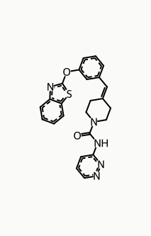 O=C(Nc1cccnn1)N1CCC(=Cc2cccc(Oc3nc4ccccc4s3)c2)CC1